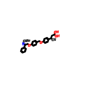 CO/N=C(\COc1ccc(COc2ccc(C(C#N)CC(O)O)cc2)cc1)c1ccccc1